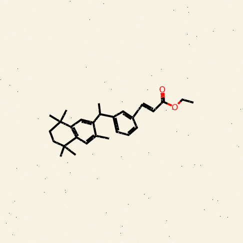 CCOC(=O)C=Cc1cccc(C(C)c2cc3c(cc2C)C(C)(C)CCC3(C)C)c1